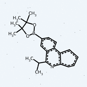 CC(C)c1nc2ccccc2c2ccc(B3OC(C)(C)C(C)(C)O3)cc12